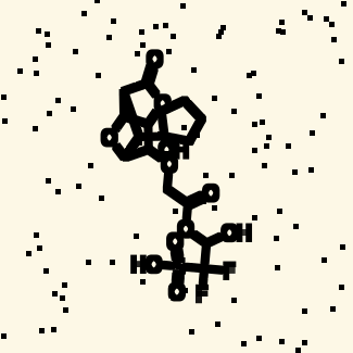 O=C(COC1C2OC(=O)C3C2OC1C3C1(O)CCCC1)OC(O)C(F)(F)S(=O)(=O)O